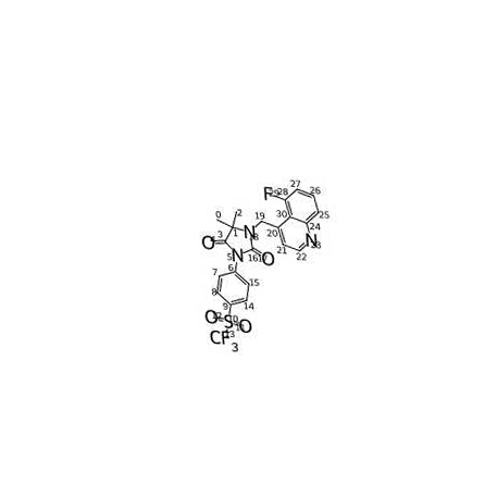 CC1(C)C(=O)N(c2ccc(S(=O)(=O)C(F)(F)F)cc2)C(=O)N1Cc1ccnc2cccc(F)c12